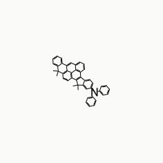 CC1(C)c2cc(N(c3ccccc3)c3ccccc3)ccc2-c2c1c1ccc3c4c(cc5cccc2c5c14)-c1ccccc1C3(C)C